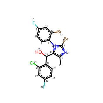 Cc1nc(Br)n(-c2ccc(F)cc2Br)c1C(O)c1ccc(F)cc1Cl